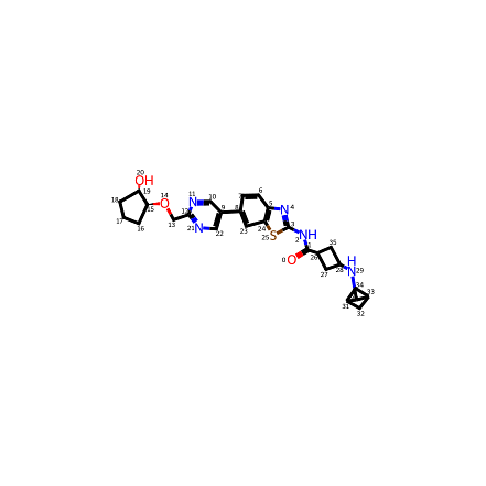 O=C(Nc1nc2ccc(-c3cnc(CO[C@H]4CCC[C@@H]4O)nc3)cc2s1)C1CC(NC2C3CC2C3)C1